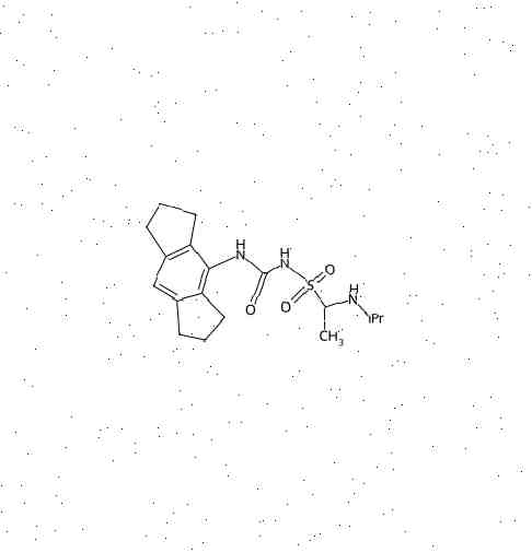 CC(C)NC(C)S(=O)(=O)NC(=O)Nc1c2c(cc3c1CCC3)CCC2